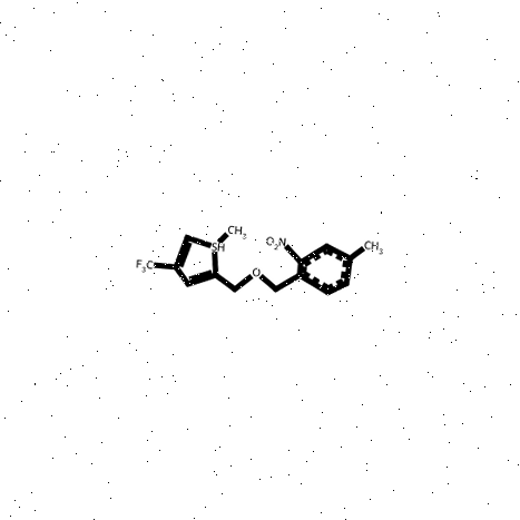 Cc1ccc(COCC2=CC(C(F)(F)F)=C[SH]2C)c([N+](=O)[O-])c1